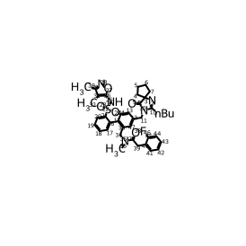 CCCCC1=NC2(CCCC2)C(=O)N1Cc1ccc(-c2ccccc2S(=O)(=O)Nc2onc(C)c2C)c(CN(C)C(=O)Cc2ccccc2F)c1